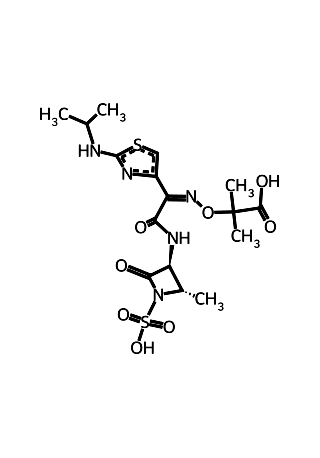 CC(C)Nc1nc(/C(=N/OC(C)(C)C(=O)O)C(=O)N[C@@H]2C(=O)N(S(=O)(=O)O)[C@H]2C)cs1